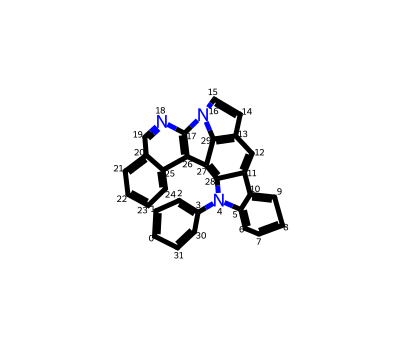 c1ccc(-n2c3ccccc3c3cc4ccn5c6ncc7ccccc7c6c(c32)c45)cc1